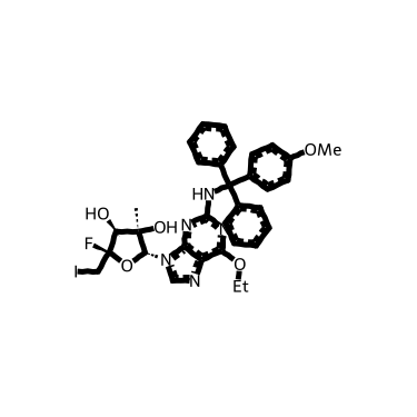 CCOc1nc(NC(c2ccccc2)(c2ccccc2)c2ccc(OC)cc2)nc2c1ncn2[C@@H]1O[C@](F)(CI)[C@@H](O)[C@@]1(C)O